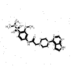 COc1cc(NC(=O)CN2CCN(c3ncnc4[nH]ccc34)CC2)ccc1S(=O)(=O)N(C)C